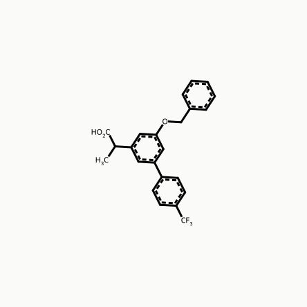 CC(C(=O)O)c1cc(OCc2ccccc2)cc(-c2ccc(C(F)(F)F)cc2)c1